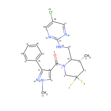 C[C@@H]1CC(F)(F)CN(C(=O)c2cn(C)nc2-c2ccccc2)C1CNc1ncc(Cl)cn1